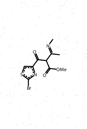 CN=C(C)C(C(=O)OC)C(=O)c1csc(Br)n1